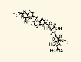 Nc1nc(N)c2nc(CN3CCSc4cc(C(=O)NC(CCCC(=O)C(N)(CCC(=O)O)C(=O)O)C(=O)O)ccc43)cnc2n1